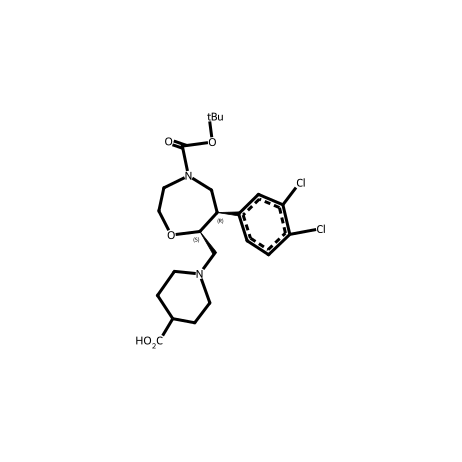 CC(C)(C)OC(=O)N1CCO[C@H](CN2CCC(C(=O)O)CC2)[C@H](c2ccc(Cl)c(Cl)c2)C1